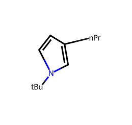 CCCc1ccn(C(C)(C)C)c1